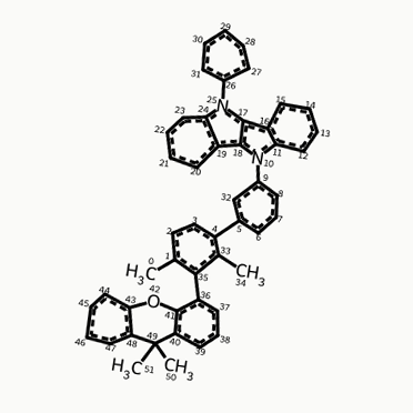 Cc1ccc(-c2cccc(-n3c4ccccc4c4c3c3ccccc3n4-c3ccccc3)c2)c(C)c1-c1cccc2c1Oc1ccccc1C2(C)C